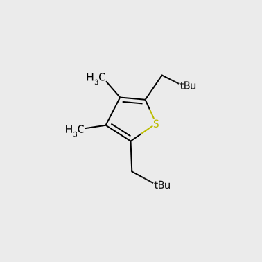 Cc1c(CC(C)(C)C)sc(CC(C)(C)C)c1C